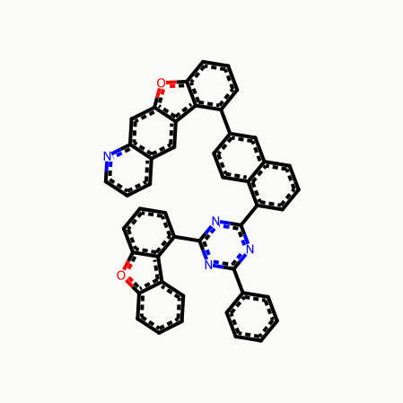 c1ccc(-c2nc(-c3cccc4cc(-c5cccc6oc7cc8ncccc8cc7c56)ccc34)nc(-c3cccc4oc5ccccc5c34)n2)cc1